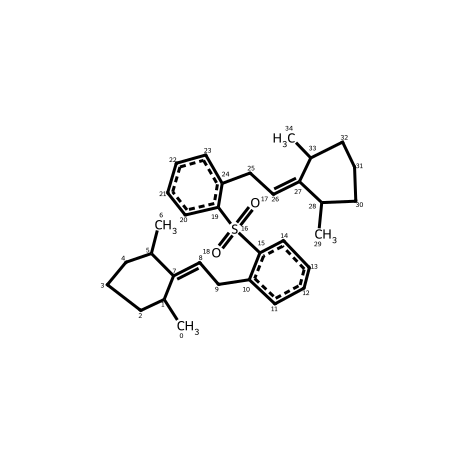 CC1CCCC(C)C1=CCc1ccccc1S(=O)(=O)c1ccccc1CC=C1C(C)CCCC1C